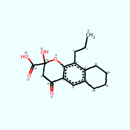 CCCc1c2c(cc3c1OC(O)(C(=O)O)CC3=O)CCCC2